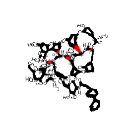 CC(=O)N[C@H]1C(O)[C@H](O)C(CO)O[C@H]1O[C@@H]1c2ccc(c(Cl)c2)Oc2cc3cc(c2O[C@@H]2OC(CO)[C@@H](O)[C@H](O)C2NC(=O)Cc2ccc(-c4ccccc4)cc2)Oc2ccc(cc2Cl)C[C@H]2NC(=O)[C@H](N)c4ccc(O)c(c4)Oc4cc(O)cc(c4)[C@H](NC2=O)C(=O)N[C@H]3C(=O)N[C@H]2C(=O)N[C@@H]1C(=O)N[C@H](C(=O)O)c1cc(O)cc(C)c1-c1cc2ccc1I